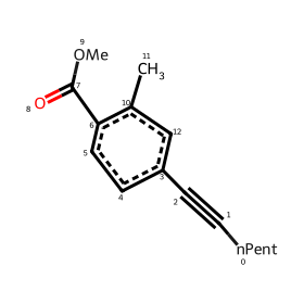 CCCCCC#Cc1ccc(C(=O)OC)c(C)c1